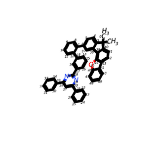 CC1(C)c2ccc(-c3ccccc3-c3cccc(-c4nc(-c5ccccc5)cc(-c5ccccc5)n4)c3)cc2-c2c1ccc1c2oc2ccccc21